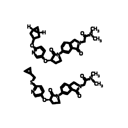 CN(C)C(=O)CN1Cc2ccc(N3CC[C@@H](Oc4ccc(OC5C[C@@H]6C[C@@H]6C5)nc4)C3=O)cc2C1=O.CN(C)C(=O)CN1Cc2ccc(N3CC[C@@H](Oc4ccc(SCC5CC5)nc4)C3=O)cc2C1=O